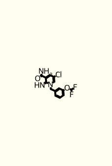 N=c1c(C(N)=O)cc(Cl)cn1Cc1cccc(OC(F)F)c1